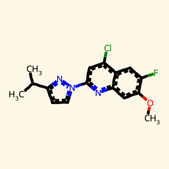 COc1cc2nc(-n3ccc(C(C)C)n3)cc(Cl)c2cc1F